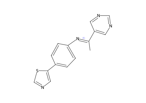 C/C(=N\c1ccc(-c2cncs2)cc1)c1cncnc1